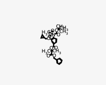 CC(C)(C)OC(=O)N(c1ccc(C(=O)OC(C)(C)C(=O)OCc2ccccc2)cc1OCC1CC1)S(C)(=O)=O